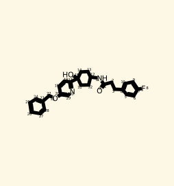 O=C(CCc1ccc(F)cc1)NC1CCC(O)(c2ccc(OCc3ccccc3)cn2)CC1